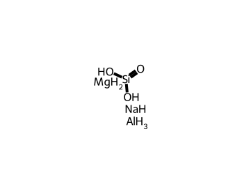 O=[Si](O)O.[AlH3].[MgH2].[NaH]